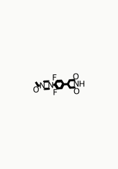 CC(=O)N1CCN(c2c(F)cc(C3CC(=O)NC(=O)C3)cc2F)CC1